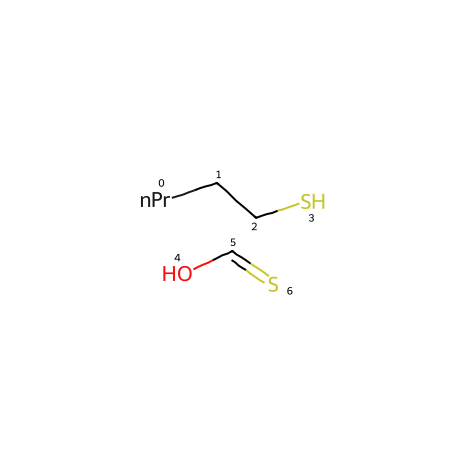 CCCCCS.OC=S